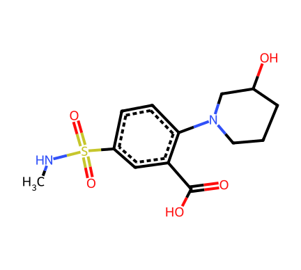 CNS(=O)(=O)c1ccc(N2CCCC(O)C2)c(C(=O)O)c1